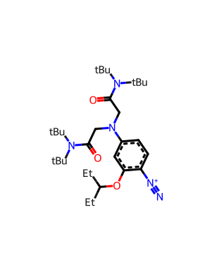 CCC(CC)Oc1cc(N(CC(=O)N(C(C)(C)C)C(C)(C)C)CC(=O)N(C(C)(C)C)C(C)(C)C)ccc1[N+]#N